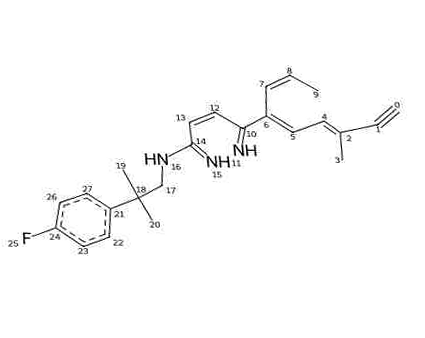 C#C/C(C)=C/C=C(\C=C/C)C(=N)/C=C\C(=N)NCC(C)(C)c1ccc(F)cc1